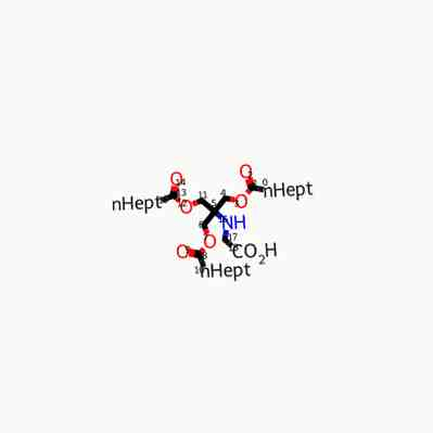 CCCCCCCC(=O)OCC(COC(=O)CCCCCCC)(COC(=O)CCCCCCC)NCC(=O)O